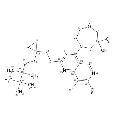 CC1(O)COCCN(c2nc(CCC3(CO[Si](C)(C)C(C)(C)C)CC3)nc3c(F)c(Cl)ncc23)C1